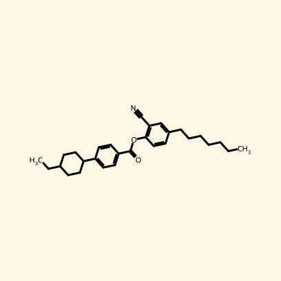 CCCCCCCc1ccc(OC(=O)c2ccc(C3CCC(CC)CC3)cc2)c(C#N)c1